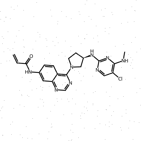 C=CC(=O)Nc1ccc2c(N3CC[C@@H](Nc4ncc(Cl)c(NC)n4)C3)ncnc2c1